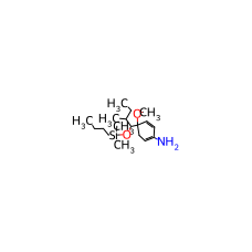 CCCC[Si](C)(C)OC(C(C)CC)C1(OC)C=CC(N)=CC1